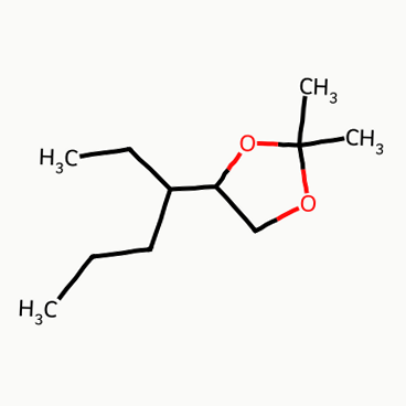 CCCC(CC)C1COC(C)(C)O1